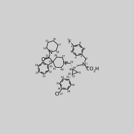 CN(Cc1ccc(F)cc1)C(=O)O.O=C(N1CCCCC1)C1(c2ccccc2)CCN(C[C@@H]2C[C@@H]2c2ccc(Cl)cc2)CC1